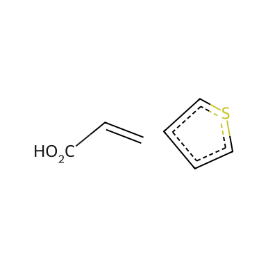 C=CC(=O)O.c1ccsc1